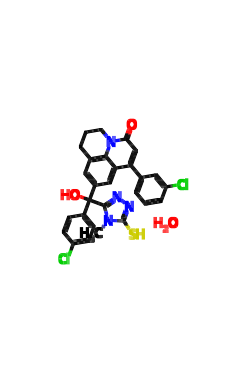 Cn1c(S)nnc1C(O)(c1ccc(Cl)cc1)c1cc2c3c(c1)c(-c1cccc(Cl)c1)cc(=O)n3CCC2.O